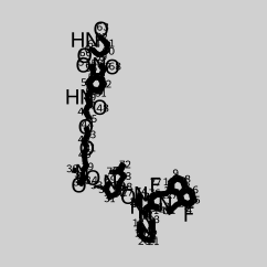 C#Cc1c(F)ccc2cccc(-c3ncc4c(N5CC6CCC(C5)N6)nc(OC[C@@]56CC[C@@H](COC(=O)N(C)CCOCCOCCC(=O)Nc7ccc8c(c7)C(=O)N(C7CCC(=O)NC7=O)C8=O)N5CC(=C)C6)nc4c3F)c12